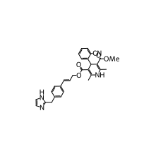 COC(=O)C1=C(C)NC(C)=C(C(=O)OCC=Cc2ccc(Cc3ncc[nH]3)cc2)C1c1ccccc1C#N